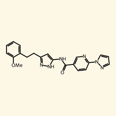 COc1ccccc1CCc1cc(NC(=O)c2ccc(-n3cccn3)nc2)[nH]n1